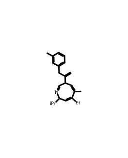 C=C(Cc1cccc(C)c1)C1/C=N\C(C(C)C)/C=C(CC)\C(C)=C/1